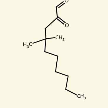 CCCCCCC(C)(C)CC(=O)C=O